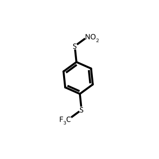 O=[N+]([O-])Sc1ccc(SC(F)(F)F)cc1